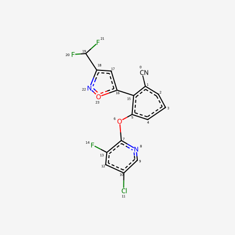 N#Cc1cccc(Oc2ncc(Cl)cc2F)c1-c1cc(C(F)F)no1